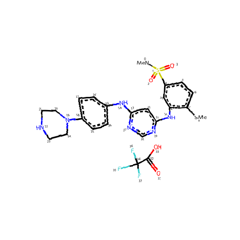 CNS(=O)(=O)c1ccc(SC)c(Nc2cc(Nc3ccc(N4CCNCC4)cc3)ncn2)c1.O=C(O)C(F)(F)F